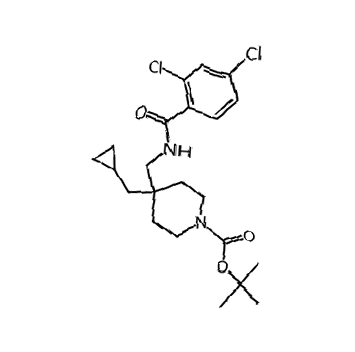 CC(C)(C)OC(=O)N1CCC(CNC(=O)c2ccc(Cl)cc2Cl)(CC2CC2)CC1